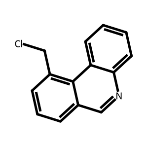 ClCc1cccc2cnc3ccccc3c12